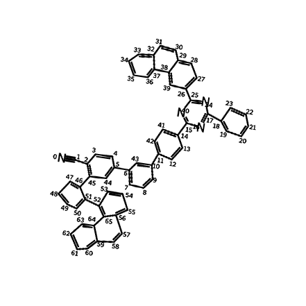 N#Cc1ccc(-c2cccc(-c3ccc(-c4nc(-c5ccccc5)nc(-c5ccc6ccc7ccccc7c6c5)n4)cc3)c2)cc1-c1ccccc1-c1cccc2ccc3ccccc3c12